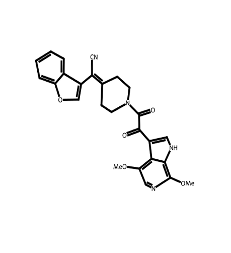 COc1ncc(OC)c2c(C(=O)C(=O)N3CCC(=C(C#N)c4coc5ccccc45)CC3)c[nH]c12